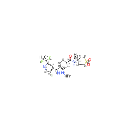 CC(C)n1nc(-c2cc(C(C)(F)F)ncc2F)c2c1C[C@H](C(=O)NC1(C)CCS(=O)(=O)CC1)CC2